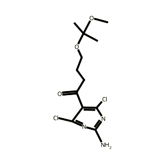 COC(C)(C)OCCCC(=O)c1c(Cl)nc(N)nc1Cl